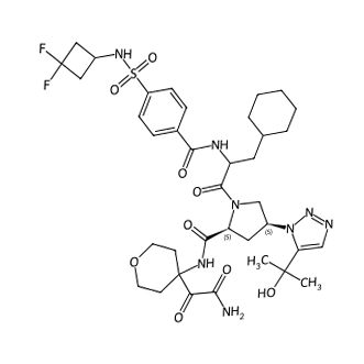 CC(C)(O)c1cnnn1[C@H]1C[C@@H](C(=O)NC2(C(=O)C(N)=O)CCOCC2)N(C(=O)C(CC2CCCCC2)NC(=O)c2ccc(S(=O)(=O)NC3CC(F)(F)C3)cc2)C1